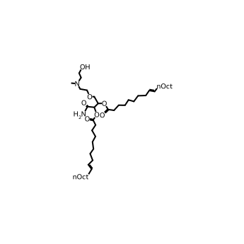 CCCCCCCCC=CCCCCCCCC(=O)OC(COCCN(C)CCO)C(OC(=O)CCCCCCCC=CCCCCCCCC)C(N)=O